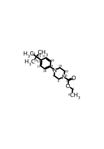 CCOC(=O)N1CCN(c2ccc(C(C)(C)C)cc2)CC1